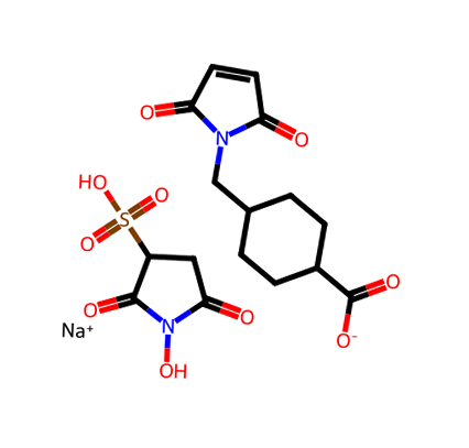 O=C([O-])C1CCC(CN2C(=O)C=CC2=O)CC1.O=C1CC(S(=O)(=O)O)C(=O)N1O.[Na+]